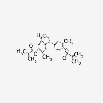 C=C(C)C(=O)Oc1ccc(C(CC)c2ccc(OC(=O)C(=C)C)c(C)c2)cc1C